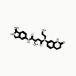 N=C1NCc2cc(NC(=O)[C@H](O)CC(=O)N(CCO)c3ccc4c(c3)NC(=O)CC4)ccc21